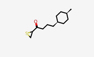 C[C@H]1CC[C@@H](CCCC(=O)C2CS2)CC1